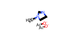 CC(=O)[O-].CC(=O)[O-].Cn1ccnc1.[Zn+2]